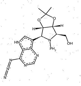 CC1(C)O[C@@H]2[C@H](O1)[C@@H](CO)N(P)[C@H]2c1c[nH]c2c(N=[N+]=[N-])ncnc12